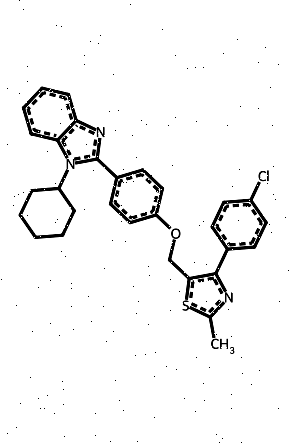 Cc1nc(-c2ccc(Cl)cc2)c(COc2ccc(-c3nc4ccccc4n3C3CCCCC3)cc2)s1